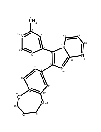 Cc1cc(-c2c(-c3ccc4c(c3)OCCCO4)nc3ncccn23)ccn1